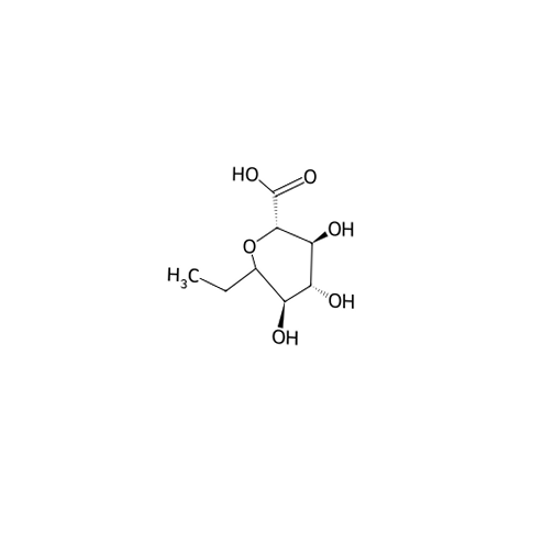 CCC1O[C@H](C(=O)O)[C@@H](O)[C@H](O)[C@H]1O